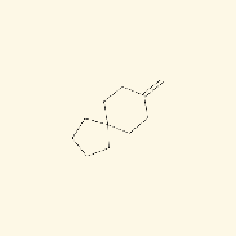 C=C1CCC2(CCCC2)CC1